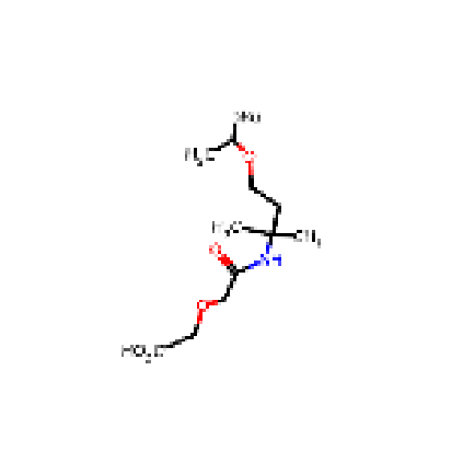 CCCCC(C)OCCC(C)(C)NC(=O)COCC(=O)O